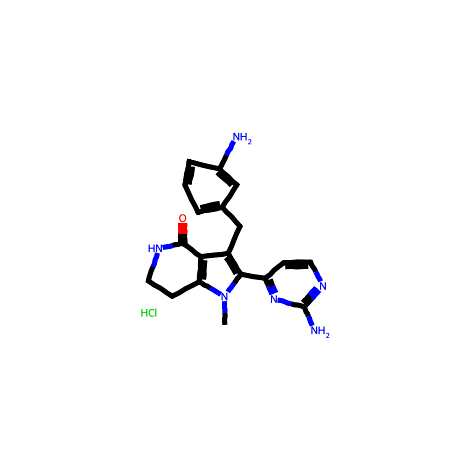 Cl.Cn1c2c(c(Cc3cccc(N)c3)c1-c1ccnc(N)n1)C(=O)NCC2